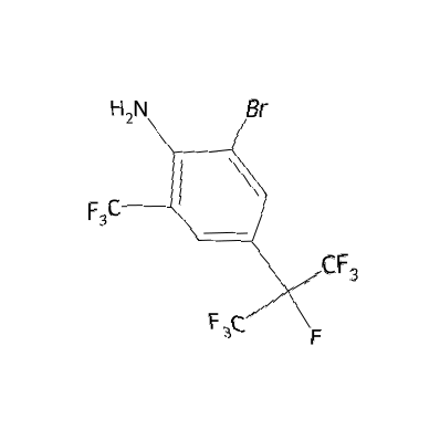 Nc1c(Br)cc(C(F)(C(F)(F)F)C(F)(F)F)cc1C(F)(F)F